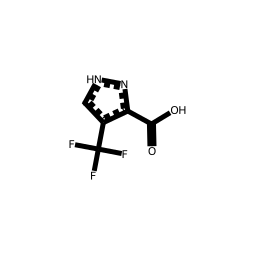 O=C(O)c1n[nH]cc1C(F)(F)F